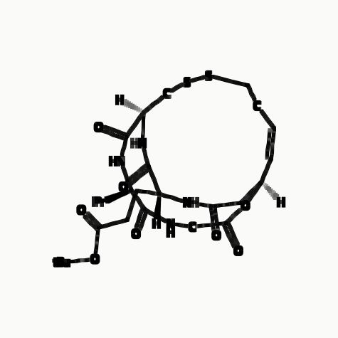 CC(C)[C@H]1NC(=O)[C@H]2CSSCCC=C[C@H](CC(=O)N[C@H](CCC(=O)OC(C)(C)C)C(=O)N2)OC(=O)CNC1=O